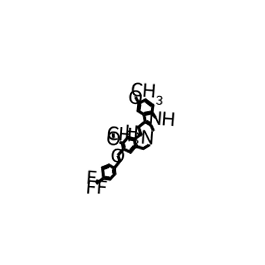 COc1ccc2[nH]c3c(c2c1)C[C@H]1c2cc(OC)c(OCc4ccc(C(F)(F)F)cc4)cc2CCN1C3